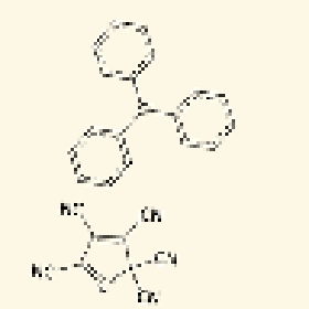 N#CC1=[C-]C(C#N)(C#N)C(C#N)=C1C#N.c1ccc([S+](c2ccccc2)c2ccccc2)cc1